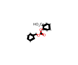 O=C(OCc1ccccc1)Oc1ccccc1C(=O)O